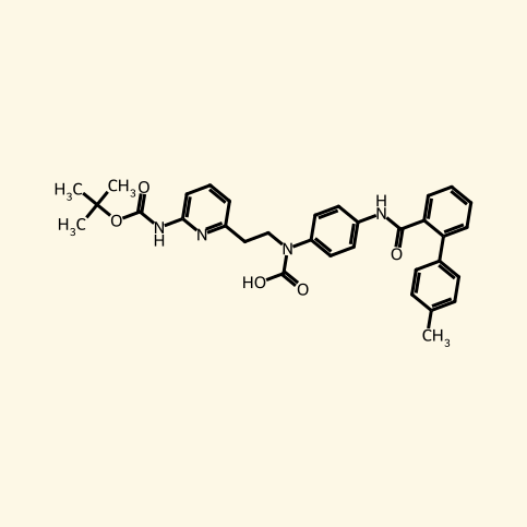 Cc1ccc(-c2ccccc2C(=O)Nc2ccc(N(CCc3cccc(NC(=O)OC(C)(C)C)n3)C(=O)O)cc2)cc1